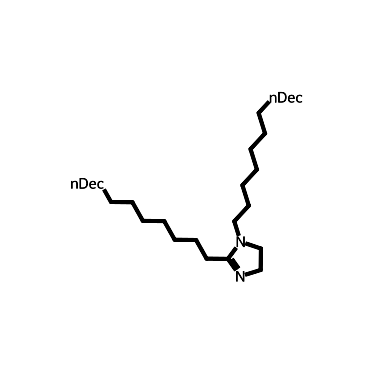 CCCCCCCCCCCCCCCCCC1=NCCN1CCCCCCCCCCCCCCCCC